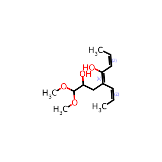 C\C=C/C(O)=C(\C=C/C)CC(O)C(OC)OC